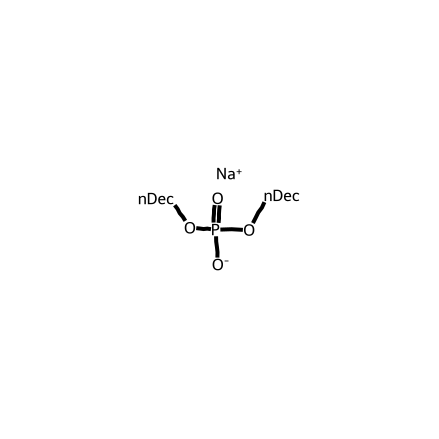 CCCCCCCCCCOP(=O)([O-])OCCCCCCCCCC.[Na+]